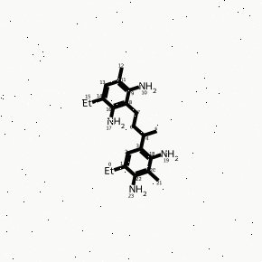 CCc1cc(C(C)CCc2c(N)c(C)cc(CC)c2N)c(N)c(C)c1N